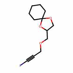 IC#CCOCC1COC2(CCCCC2)O1